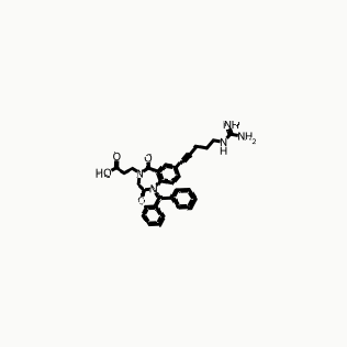 N=C(N)NCCCC#Cc1ccc2c(c1)C(=O)N(CCC(=O)O)CC(=O)N2C(c1ccccc1)c1ccccc1